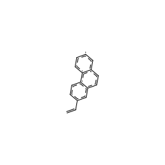 C=Cc1ccc2c(ccc3c[c]ccc32)c1